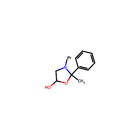 CC(C)N1CC(O)OC1(C)c1ccccc1